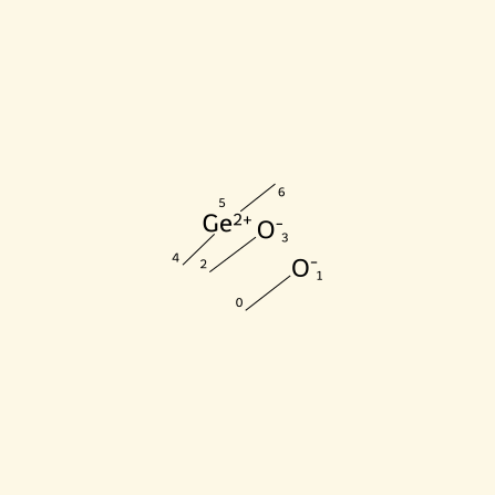 C[O-].C[O-].[CH3][Ge+2][CH3]